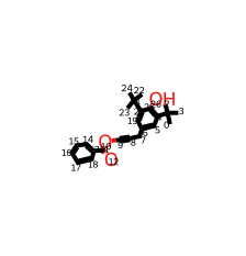 CC(C)(C)c1cc(CC#COC(=O)c2ccccc2)cc(C(C)(C)C)c1O